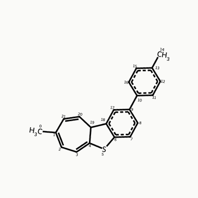 CC1=CC=C2Sc3ccc(-c4ccc(C)cc4)cc3C2C=C1